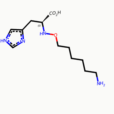 NCCCCCCON[C@@H](Cc1c[nH]cn1)C(=O)O